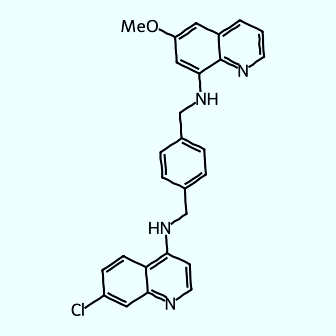 COc1cc(NCc2ccc(CNc3ccnc4cc(Cl)ccc34)cc2)c2ncccc2c1